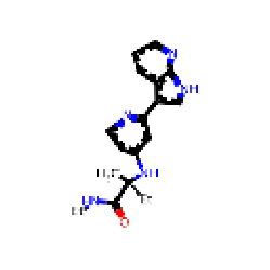 CCNC(=O)[C@@](C)(CC)Nc1ccnc(-c2c[nH]c3ncccc23)c1